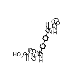 CC(C)[C@H](NC(=O)O)C(=O)N1CCC[C@H]1c1nc(-c2ccc(-c3ccc(-c4c[nH]c([C@@H]5CC6(CN5)OCCCO6)n4)cc3)cc2)c[nH]1